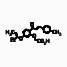 CC=C(CC)Oc1ccc(C(=O)C=Cc2ccc(C)cc2)c(OCC(=O)O)c1